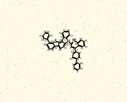 c1ccc(-c2ccc(-c3cc(-n4c5ccccc5c5c6sc7c(-c8ccccc8)cccc7c6ccc54)nc4ccccc34)cc2)cc1